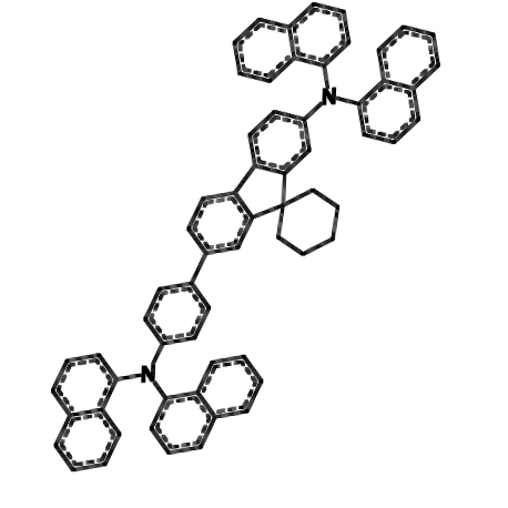 c1ccc2c(N(c3ccc(-c4ccc5c(c4)C4(CCCCC4)c4cc(N(c6cccc7ccccc67)c6cccc7ccccc67)ccc4-5)cc3)c3cccc4ccccc34)cccc2c1